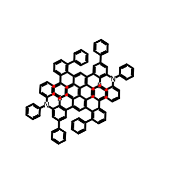 c1ccc(-c2cc3c4c(c2)N(c2ccccc2)c2ccccc2B4c2cc4c(-c5c(-c6ccccc6)cccc5-c5ccccc5)cc5c6c(cc7c(-c8c(-c9ccccc9)cccc8-c8ccccc8)cc-3c2c7c46)B2c3ccccc3N(c3ccccc3)c3cc(-c4ccccc4)cc-5c32)cc1